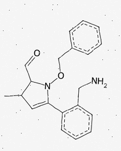 CC1C=C(c2ccccc2CN)N(OCc2ccccc2)C1C=O